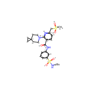 CC(C)(C)NS(=O)(=O)c1cccc(NC(=O)c2ccc(CS(C)(=O)=O)nc2N2CCC3(CC2)CC3)c1